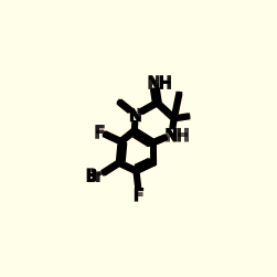 CN1C(=N)C(C)(C)Nc2cc(F)c(Br)c(F)c21